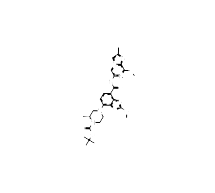 COc1nc2c(C(=O)Nc3cn4cc(C)nc4c(OC)n3)ccc(N3C[C@H](C)N(C(=O)OC(C)(C)C)[C@@H](C)C3)c2s1